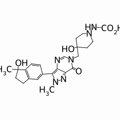 Cn1nc2c(=O)n(CC3(O)CCN(NC(=O)O)CC3)cnc2c1-c1ccc2c(c1)CCC2(C)O